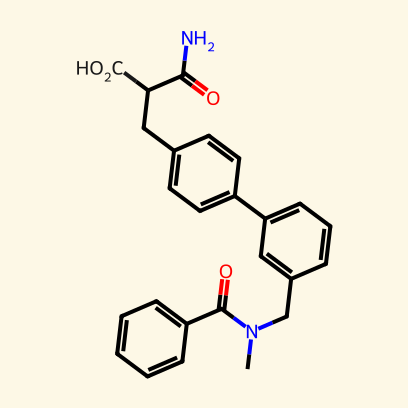 CN(Cc1cccc(-c2ccc(CC(C(N)=O)C(=O)O)cc2)c1)C(=O)c1ccccc1